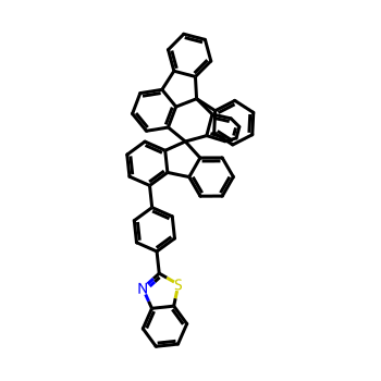 c1ccc(C23c4ccccc4-c4cccc(c42)C2(c4ccccc4-c4c(-c5ccc(-c6nc7ccccc7s6)cc5)cccc42)c2ccccc23)cc1